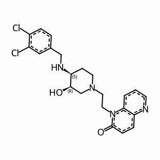 O=c1ccc2ncccc2n1CCN1CC[C@H](NCc2ccc(Cl)c(Cl)c2)[C@H](O)C1